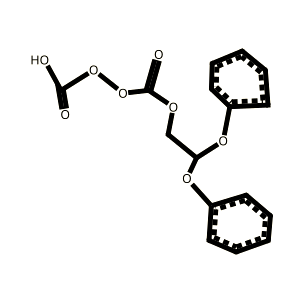 O=C(O)OOC(=O)OCC(Oc1ccccc1)Oc1ccccc1